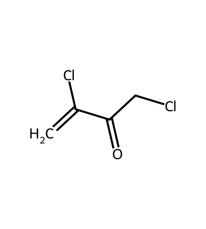 C=C(Cl)C(=O)CCl